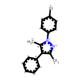 [CH2]Cc1ccc(-n2nc(C(F)(F)F)c(-c3ccccc3)c2C)cc1